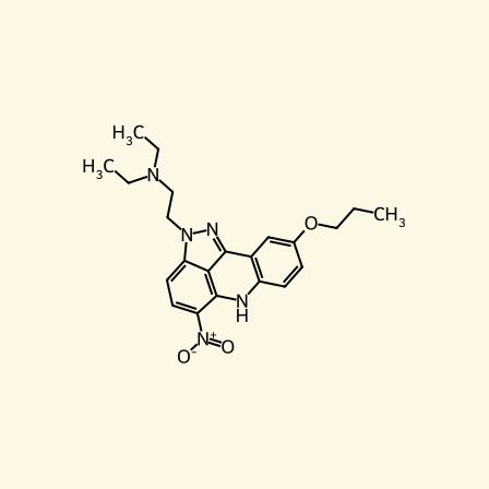 CCCOc1ccc2c(c1)-c1nn(CCN(CC)CC)c3ccc([N+](=O)[O-])c(c13)N2